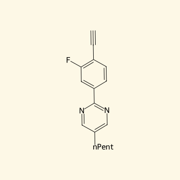 C#Cc1ccc(-c2ncc(CCCCC)cn2)cc1F